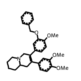 COc1ccc(C2=C(c3ccc(OC)c(OCc4ccccc4)c3)CN3CCCCC3C2)cc1OC